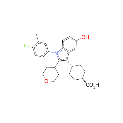 Cc1cc(-n2c(C3CCOCC3)c([C@H]3CC[C@H](C(=O)O)CC3)c3cc(O)ccc32)ccc1F